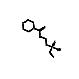 CCP(=S)(S)SCSC(=S)N1CCOCC1